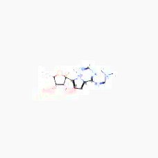 CC[C@H]1O[C@@](C#N)(c2ccc3c(/N=C\N(C)C)ncnn23)[C@H](O)[C@@H]1O